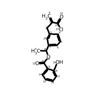 C=C(Cc1cccc(C(C)OC(=O)c2ccccc2O)c1)C(=O)Cl